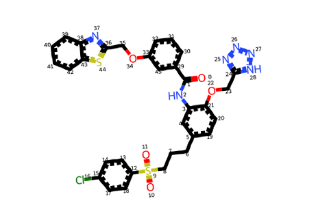 O=C(Nc1cc(CCCS(=O)(=O)c2ccc(Cl)cc2)ccc1OCc1nnn[nH]1)c1cccc(OCc2nc3ccccc3s2)c1